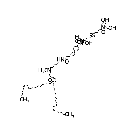 CCCCC/C=C\C/C=C\CCCCCCCCC1(CCCCCCCC/C=C\C/C=C\CCCCC)OCC(CCN(C)CCCCCCNC(=O)CCCOc2ccc(/C(C)=N/NC(O)CCSSCCCC(=O)N3C[C@H](O)C[C@H]3CO)cc2)O1